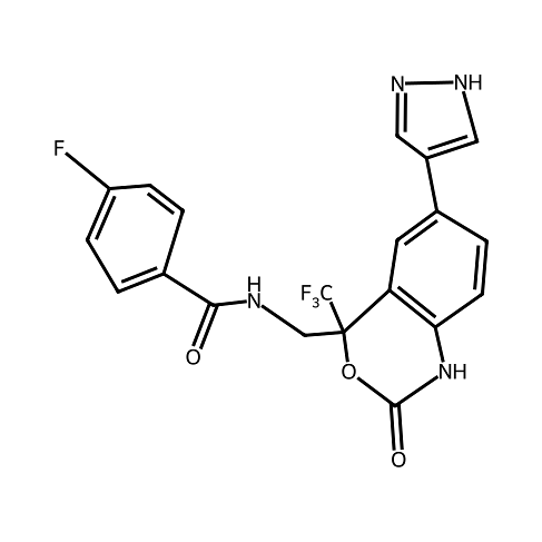 O=C1Nc2ccc(-c3cn[nH]c3)cc2C(CNC(=O)c2ccc(F)cc2)(C(F)(F)F)O1